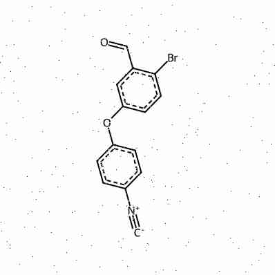 [C-]#[N+]c1ccc(Oc2ccc(Br)c(C=O)c2)cc1